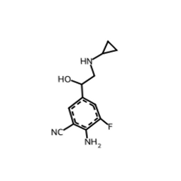 N#Cc1cc(C(O)CNC2CC2)cc(F)c1N